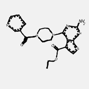 CCOC(=O)c1csc2nc(N)nc(N3CCN(C(=O)c4cccnc4)CC3)c12